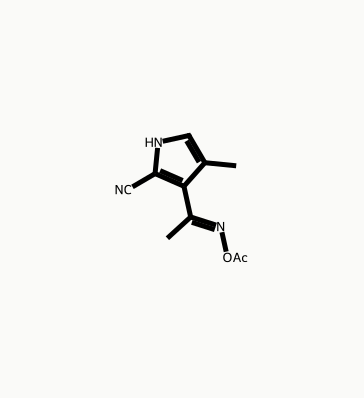 CC(=O)ON=C(C)c1c(C)c[nH]c1C#N